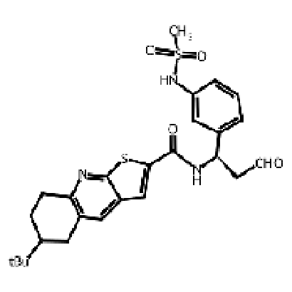 CC(C)(C)C1CCc2nc3sc(C(=O)N[C@H](CC=O)c4cccc(NS(C)(=O)=O)c4)cc3cc2C1